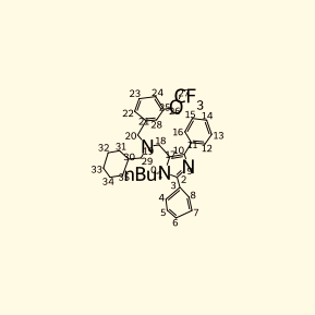 CCCCn1c(-c2ccccc2)nc(-c2ccccc2)c1CN(Cc1cccc(OC(F)(F)F)c1)CC1CCCCC1